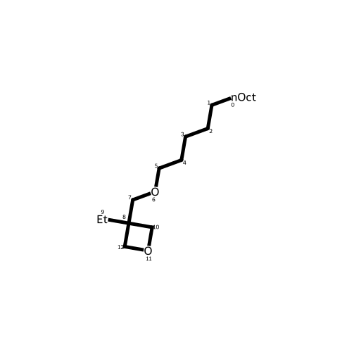 CCCCCCCCCCCCCOCC1(CC)COC1